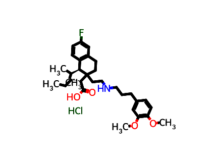 CCC[C@@H](C(=O)O)C1(CCNCCCc2ccc(OC)c(OC)c2)CCc2cc(F)ccc2[C@@H]1C(C)C.Cl